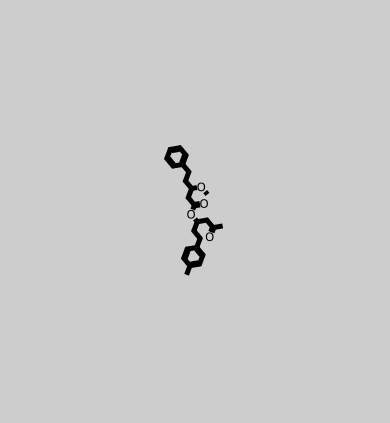 COC(CCc1ccccc1)CC(=O)OC(CCc1ccc(C)cc1)CC(C)=O